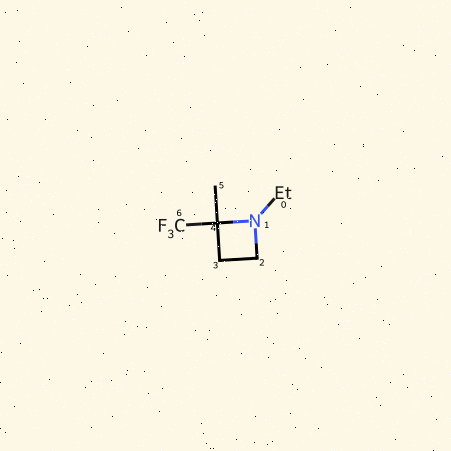 CCN1CCC1(C)C(F)(F)F